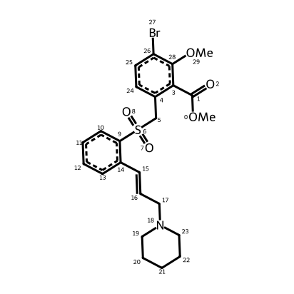 COC(=O)c1c(CS(=O)(=O)c2ccccc2/C=C/CN2CCCCC2)ccc(Br)c1OC